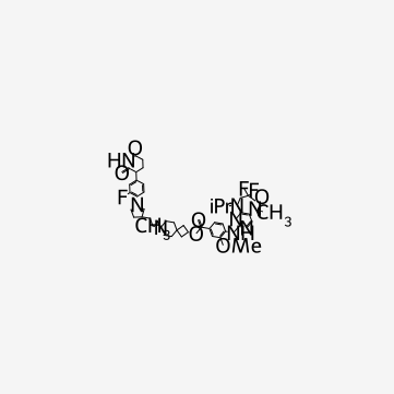 COc1cc(C(=O)OC2CC3(CCN(CCC4(C)CCN(c5ccc(C6CCC(=O)NC6=O)cc5F)C4)CC3)C2)ccc1Nc1ncc2c(n1)N(C(C)C)CC(F)(F)C(=O)N2C